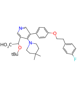 CC1(C)CCN(c2c(-c3ccc(OCCc4ccc(F)cc4)cc3)cncc2C(OC(C)(C)C)C(=O)O)CC1